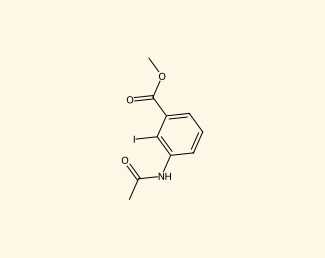 COC(=O)c1cccc(NC(C)=O)c1I